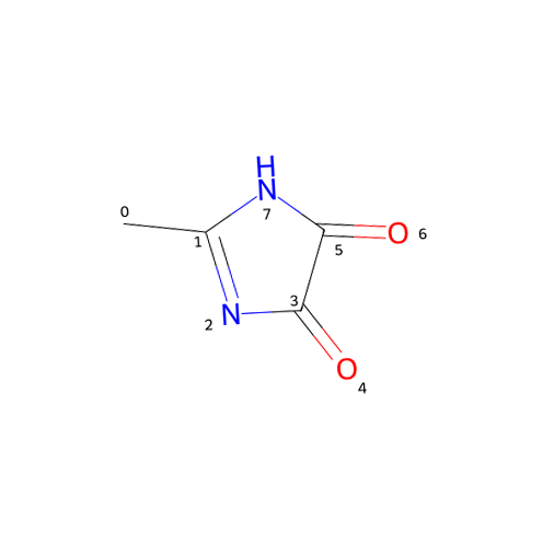 CC1=NC(=O)C(=O)N1